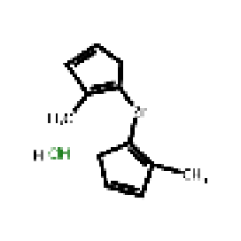 CC1=[C]([Zr][C]2=C(C)C=CC2)CC=C1.Cl.[H-]